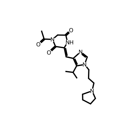 CC(=O)N1CC(=O)N/C(=C\c2ncn(CCCN3CCCC3)c2C(C)C)C1=O